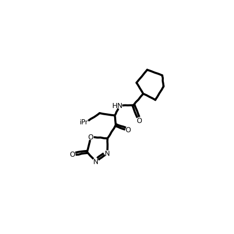 CC(C)CC(NC(=O)C1CCCCC1)C(=O)C1N=NC(=O)O1